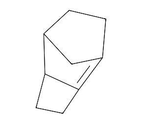 C1CC2CC1=C1CCC12